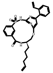 C=CCCCC[C@@H]1COc2cc(-c3ccccc3C=C)nc(n2)NS(=O)(=O)c2cccc(c2)C(=O)N1